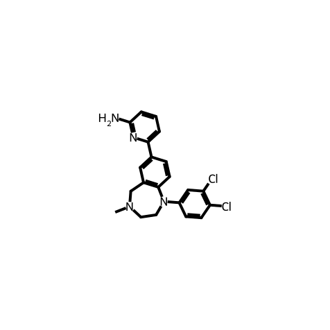 CN1CCN(c2ccc(Cl)c(Cl)c2)c2ccc(-c3cccc(N)n3)cc2C1